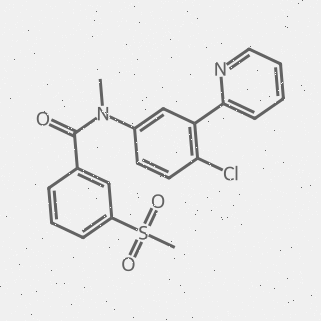 CN(C(=O)c1cccc(S(C)(=O)=O)c1)c1ccc(Cl)c(-c2ccccn2)c1